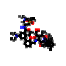 CCOC1=C(CN2O[C@@H](CO)[C@@H]([C@H](C)O)[C@H]2C(=O)N[C@H]2C[C@H]3C[C@@H]([C@@H]2C)C3(C)C)C=CCC1C1C=C(C(=O)N[C@H](CN(C)C)CS(C)(=O)=O)C=C(N(C)C)C1